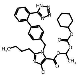 CCCCc1nc(Cl)c(C(=O)OC(C)OC(=O)OC2CCCCC2)n1Cc1ccc(-c2ccccc2-c2nnn[nH]2)cc1